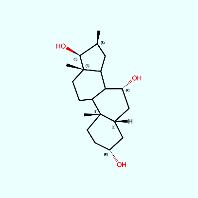 C[C@H]1CC2C3C(CC[C@]2(C)[C@H]1O)[C@@]1(C)CC[C@@H](O)C[C@H]1C[C@H]3O